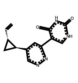 C=C[C@H]1C[C@@H]1c1cnnc(-c2c[nH]c(=O)[nH]c2=O)c1